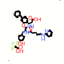 O=C(O)C(F)(F)F.O=C(O)CC(NC(=O)[C@H](Cc1ccc(O)cc1)NC(=O)CCCCNc1ccccn1)c1ccc(-c2ccccc2)cc1